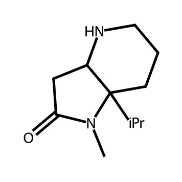 CC(C)C12CCCNC1CC(=O)N2C